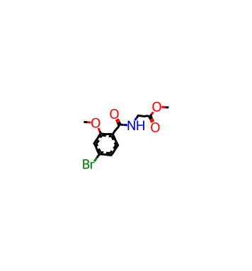 COC(=O)CNC(=O)c1ccc(Br)cc1OC